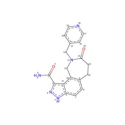 NC(=O)c1n[nH]c2ccc3c(c12)CN(Cc1ccncc1)C(=O)[CH]C3